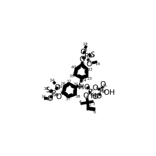 C=CC(C)(C)OP(=O)(O)OP(=O)(O)O.COP(=S)(OC)Oc1ccc(Sc2ccc(OP(=S)(OC)OC)cc2)cc1